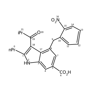 CCCc1[nH]c2cc(C(=O)O)cc(Cc3ccccc3[N+](=O)[O-])c2c1C(=O)C(C)C